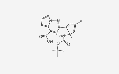 CC(C)(C)OC(=O)NC1(C)C=C(F)C=C1c1nc(C(=O)O)c2cccn2n1